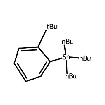 CCC[CH2][Sn]([CH2]CCC)([CH2]CCC)[c]1ccccc1C(C)(C)C